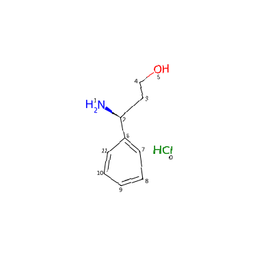 Cl.N[C@@H](CCO)c1ccccc1